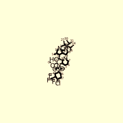 COCN(c1cccnc1C(O)c1c(C)cnc2c1ccn2[Si](C(C)C)(C(C)C)C(C)C)S(=O)(=O)c1ccc(Cl)c(C(F)(F)F)c1